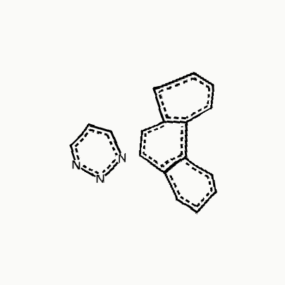 c1ccc2c(c1)ccc1ccccc12.c1cnnnc1